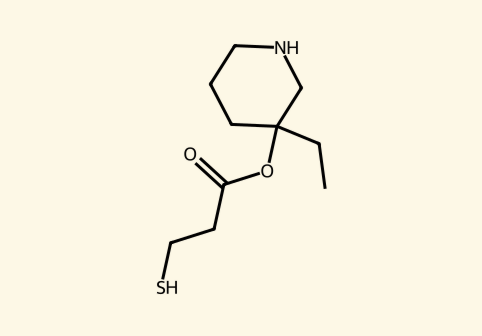 CCC1(OC(=O)CCS)CCCNC1